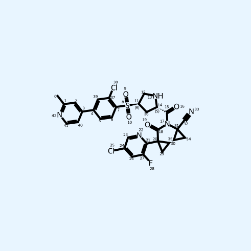 Cc1cc(-c2ccc(S(=O)(=O)[C@H]3CN[C@H](C(=O)N(C(=O)C4(c5ncc(Cl)cc5F)CC4)C4(C#N)CC4)C3)c(Cl)c2)ccn1